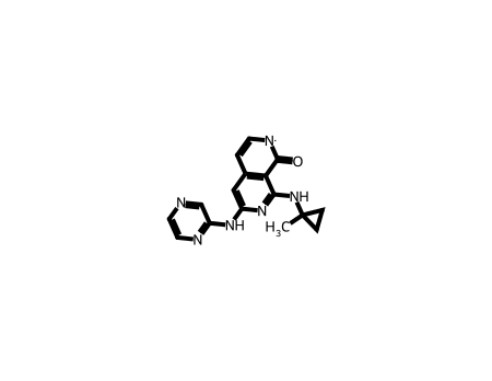 CC1(Nc2nc(Nc3cnccn3)cc3c2C(=O)[N]C=C3)CC1